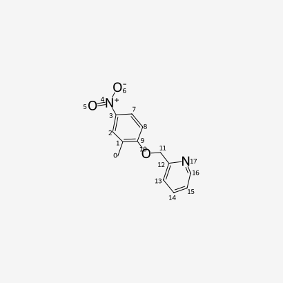 Cc1cc([N+](=O)[O-])ccc1OCc1ccccn1